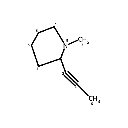 CC#CC1CCCCN1C